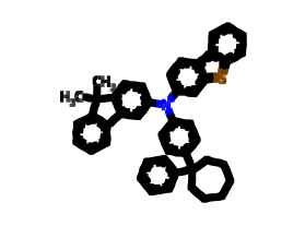 CC1(C)c2ccccc2-c2cc(N(c3ccc(C4(c5ccccc5)CCCCCC4)cc3)c3ccc4c(c3)sc3ccccc34)ccc21